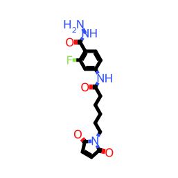 NNC(=O)c1ccc(NC(=O)CCCCCN2C(=O)C=CC2=O)cc1F